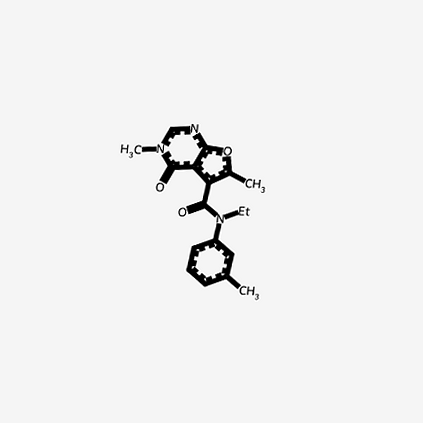 CCN(C(=O)c1c(C)oc2ncn(C)c(=O)c12)c1cccc(C)c1